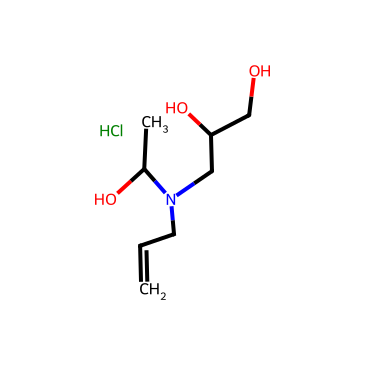 C=CCN(CC(O)CO)C(C)O.Cl